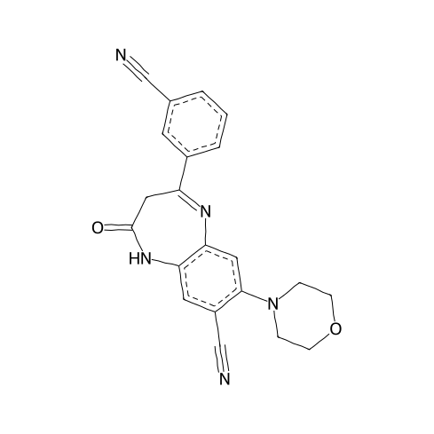 N#Cc1cccc(C2=Nc3cc(N4CCOCC4)c(C#N)cc3NC(=O)C2)c1